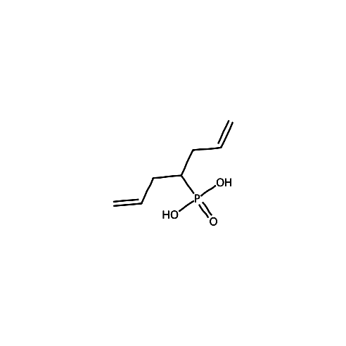 C=CCC(CC=C)P(=O)(O)O